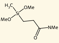 CNC(=O)CC[Si](C)(OC)OC